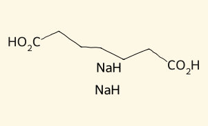 O=C(O)CCCCCC(=O)O.[NaH].[NaH]